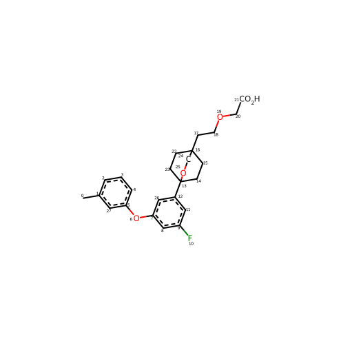 Cc1cccc(Oc2cc(F)cc(C34CCC(CCOCC(=O)O)(CC3)CO4)c2)c1